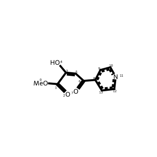 COC(=O)/C(O)=C\C(=O)c1ccncc1